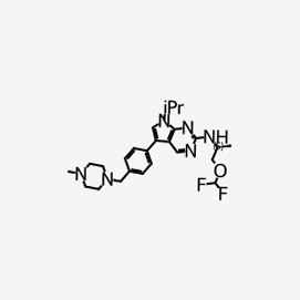 CC(C)n1cc(-c2ccc(CN3CCN(C)CC3)cc2)c2cnc(N[C@@H](C)COC(F)F)nc21